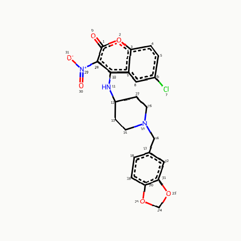 O=c1oc2ccc(Cl)cc2c(NC2CCN(Cc3ccc4c(c3)OCO4)CC2)c1[N+](=O)[O-]